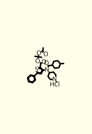 CC(=O)OC(C)(C)OC(=O)c1sc(-c2ccccc2)cc1N(C(=O)C1CCC(C)CC1)C1CCN(C)CC1.Cl